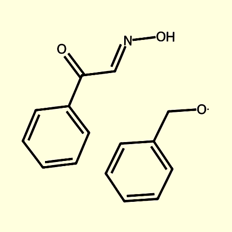 O=C(C=NO)c1ccccc1.[O]Cc1ccccc1